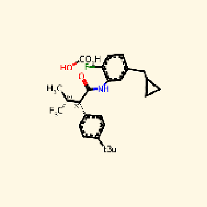 C[C@H]([C@H](C(=O)Nc1cc(CC2CC2)ccc1F)c1ccc(C(C)(C)C)cc1)C(F)(F)F.O=C(O)O